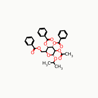 CC(=O)OC1[C@H](OC(C)C)OC(COC(=O)c2ccccc2)[C@H](OC(=O)c2ccccc2)[C@@H]1OC(=O)c1ccccc1